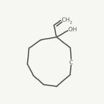 C=CC1(O)CCCCCCCCC1